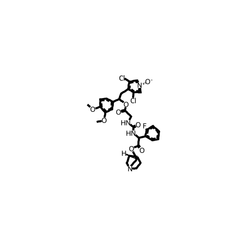 COc1ccc(C(Cc2c(Cl)c[n+]([O-])cc2Cl)OC(=O)CNC(=O)NC(C(=O)O[C@H]2CN3CCC2CC3)c2ccccc2F)cc1OC